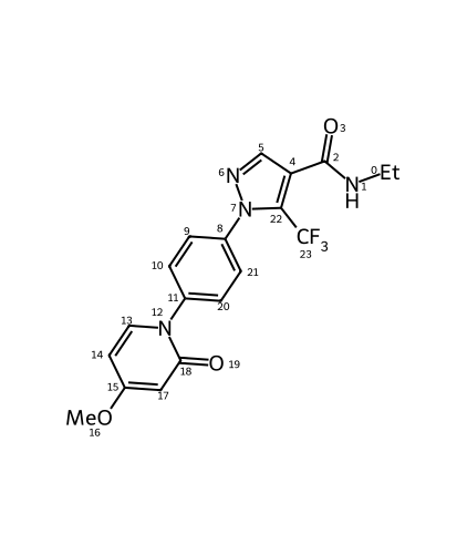 CCNC(=O)c1cnn(-c2ccc(-n3ccc(OC)cc3=O)cc2)c1C(F)(F)F